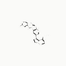 COc1ccnn2ccc(-c3cnc4nc(C)n(Cc5ccnc(F)c5)c4c3)c12